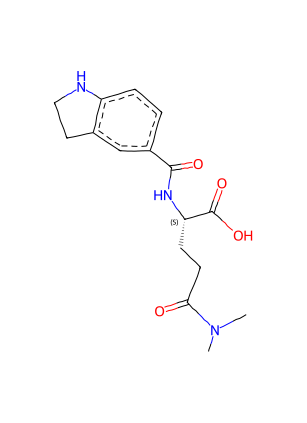 CN(C)C(=O)CC[C@H](NC(=O)c1ccc2c(c1)CCN2)C(=O)O